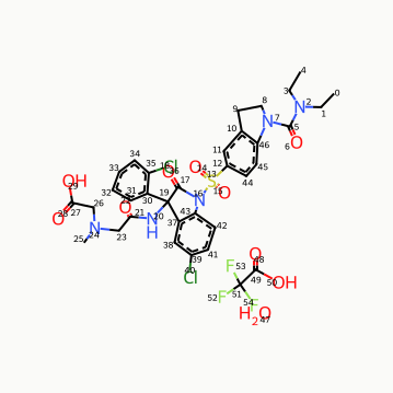 CCN(CC)C(=O)N1CCc2cc(S(=O)(=O)N3C(=O)C(NC(=O)CN(C)CC(=O)O)(c4ccccc4Cl)c4cc(Cl)ccc43)ccc21.O.O=C(O)C(F)(F)F